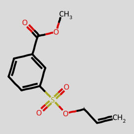 C=C[CH]OS(=O)(=O)c1cccc(C(=O)OC)c1